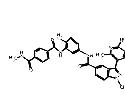 CNC(=O)c1ccc(C(=O)Nc2cc(NC(=O)c3ccc4c(c3)c(-c3ccc(N)nc3C)nn4C)ccc2C)cc1